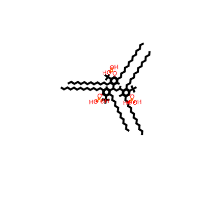 CCCCCCCCCCCCCc1c(C)c(C(C)CC(c2c(C)c(CCCCCCCCCCCCC)c(OP(O)O)c(C(C)(C)C)c2CCCCCCCCCCCCC)c2c(C)c(CCCCCCCCCCCCC)c(OP(O)O)c(C(C)(C)C)c2CCCCCCCCCCCCC)c(CCCCCCCCCCCCC)c(C(C)(C)C)c1OP(O)O